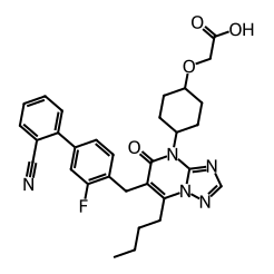 CCCCc1c(Cc2ccc(-c3ccccc3C#N)cc2F)c(=O)n(C2CCC(OCC(=O)O)CC2)c2ncnn12